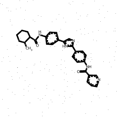 CC1CCCCC1C(=O)Nc1ccc(-c2cnc(-c3ccc(NC(=O)c4cccnc4)cc3)[nH]2)cc1